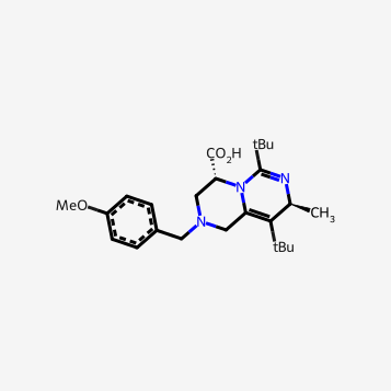 COc1ccc(CN2CC3=C(C(C)(C)C)[C@H](C)N=C(C(C)(C)C)N3[C@@H](C(=O)O)C2)cc1